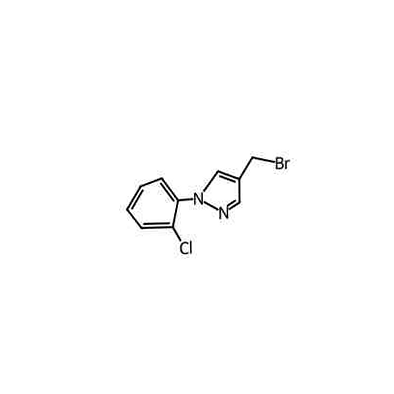 Clc1ccccc1-n1cc(CBr)cn1